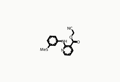 CSc1cccc(Nc2ncccc2C(=O)OCC#N)c1